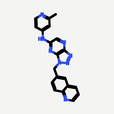 Cc1cc(Nc2cnc3nnn(Cc4ccc5ncccc5c4)c3n2)ccn1